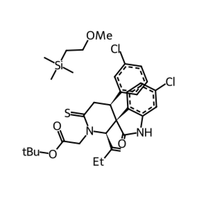 C=C(CC)[C@H]1N(CC(=O)OC(C)(C)C)C(=S)C[C@@H](c2cccc(Cl)c2)[C@]12C(=O)Nc1cc(Cl)ccc12.COCC[Si](C)(C)C